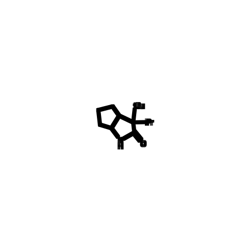 CC(C)C1(C(C)(C)C)C(=O)NC2CCCC21